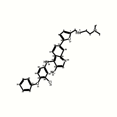 CN(C)CCNCc1ccc(-c2ccc3c(Nc4ccc(Oc5ccccc5)c(Cl)c4)c(C#N)cnc3c2)o1